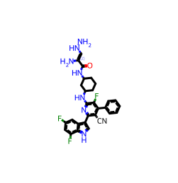 N#Cc1c(-c2c[nH]c3c(F)cc(F)cc23)nc(NC2CCCC(NC(=O)/C(N)=C/NN)C2)c(F)c1-c1ccccc1